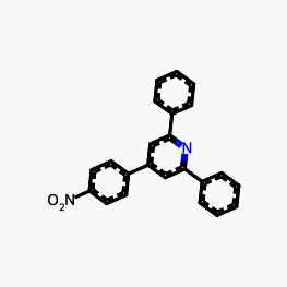 O=[N+]([O-])c1ccc(-c2cc(-c3ccccc3)nc(-c3ccccc3)c2)cc1